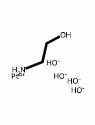 NCCO.[OH-].[OH-].[OH-].[OH-].[Pt+4]